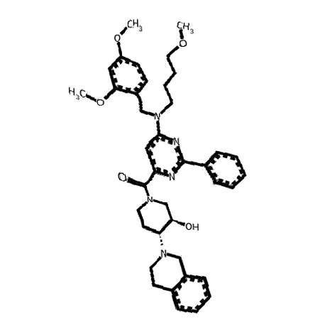 COCCCCN(Cc1ccc(OC)cc1OC)c1cc(C(=O)N2CC[C@@H](N3CCc4ccccc4C3)[C@H](O)C2)nc(-c2ccccc2)n1